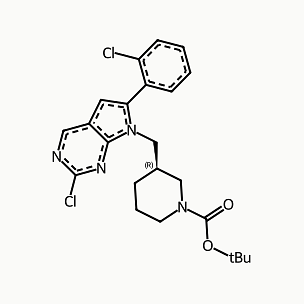 CC(C)(C)OC(=O)N1CCC[C@@H](Cn2c(-c3ccccc3Cl)cc3cnc(Cl)nc32)C1